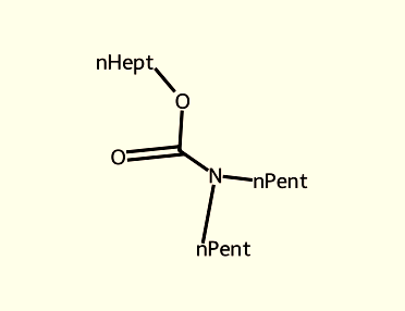 CCCCCCCOC(=O)N(CCCCC)CCCCC